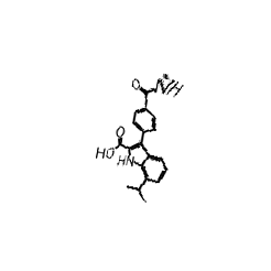 CNC(=O)c1ccc(-c2c(C(=O)O)[nH]c3c(C(C)C)cccc23)cc1